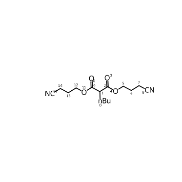 CCCCC(C(=O)OCCCC#N)C(=O)OCCCC#N